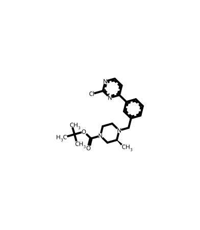 C[C@H]1CN(C(=O)OC(C)(C)C)CCN1Cc1cccc(-c2ccnc(Cl)n2)c1